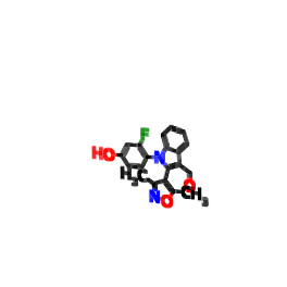 Cc1noc(C)c1-c1c(C=O)c2ccccc2n1-c1ccc(O)cc1F